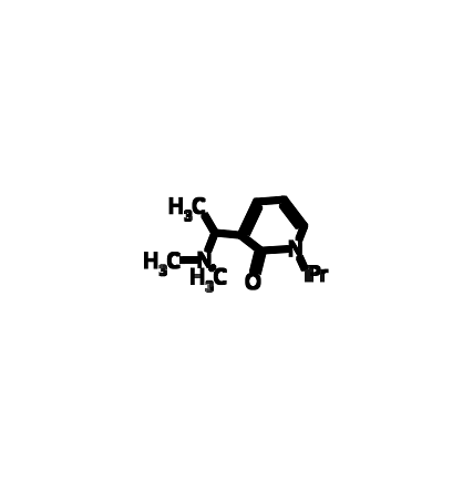 CC(c1cccn(C(C)C)c1=O)N(C)C